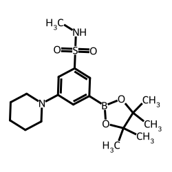 CNS(=O)(=O)c1cc(B2OC(C)(C)C(C)(C)O2)cc(N2CCCCC2)c1